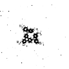 Cc1ccc2c(c1)c1cc(C)ccc1n2-c1ccc(-c2cc(C)c(C)cc2-c2ccc(-n3c4ccc(C)cc4c4cc(C)ccc43)cc2)cc1